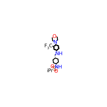 CC(C)S(=O)(=O)N[C@H]1CC[C@H](CNc2ccc(N3CCOCC3)c(C(F)(F)F)c2)CC1